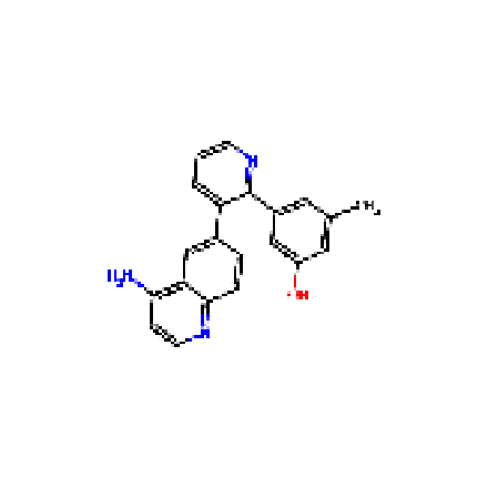 Cc1cc(O)cc(-c2ncccc2-c2ccc3nccc(N)c3c2)c1